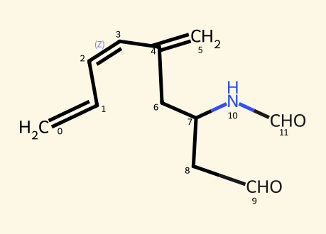 C=C/C=C\C(=C)CC(CC=O)NC=O